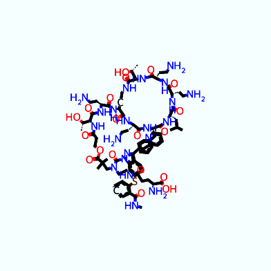 CNC(=O)c1ccccc1Sc1ccc2c(/C=C/c3ccccn3)nn(C(=O)N(CCNC(=O)CC[C@@H](N)C(=O)O)CC(C)(C)C(=O)OCCC(=O)N[C@H](C(=O)N[C@@H](CCN)C(=O)N[C@H]3CCNC(=O)[C@H]([C@@H](C)O)NC(=O)[C@H](CCN)NC(=O)[C@H](CCN)NC(=O)[C@H](CC(C)C)NC(=O)[C@@H](Cc4ccccc4)NC(=O)[C@H](CCN)NC3=O)[C@H](C)O)c2c1